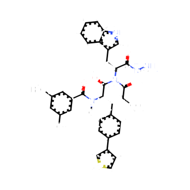 Cc1cc(C)cc(C(=O)N(C)[C@@H](Cc2ccc(-c3ccsc3)cc2)C(=O)N(C(=O)CC(=O)O)[C@@H](Cc2c[nH]c3ccccc23)C(=O)NN)c1